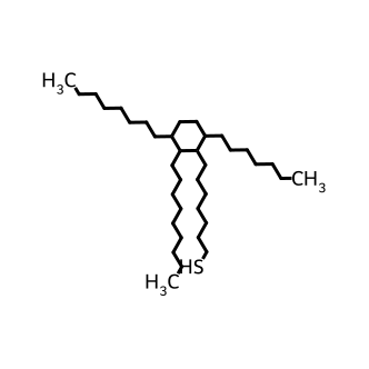 CCCCCCCCCC1C(CCCCCCCC)CCC(CCCCCCC)C1CCCCCCCS